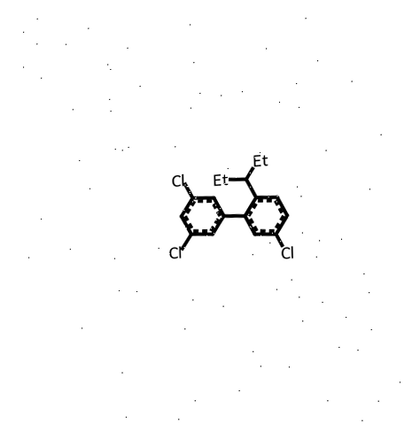 CCC(CC)c1ccc(Cl)cc1-c1cc(Cl)cc(Cl)c1